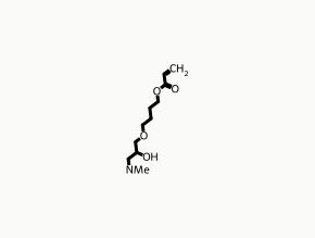 C=CC(=O)OCCCCOCC(O)CNC